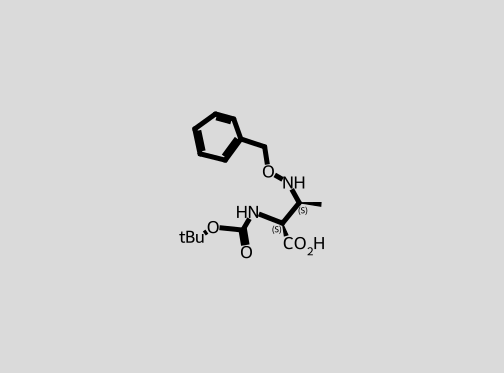 C[C@H](NOCc1ccccc1)[C@H](NC(=O)OC(C)(C)C)C(=O)O